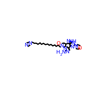 CN1CCN(CCCCCCCCCCCCCCC(=O)CN2CCC(c3n[nH]c4nc(N5CCOCC5)nc(-c5cnc(N)nc5)c34)CC2)CC1